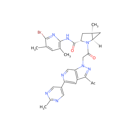 CC(=O)c1nn(CC(=O)N2[C@H](C(=O)Nc3nc(Br)c(C)cc3C)C[C@@]3(C)C[C@@H]23)c2cnc(-c3cnc(C)nc3)cc12